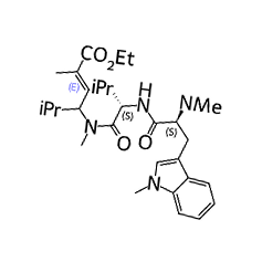 CCOC(=O)/C(C)=C/C(C(C)C)N(C)C(=O)[C@@H](NC(=O)[C@H](Cc1cn(C)c2ccccc12)NC)C(C)C